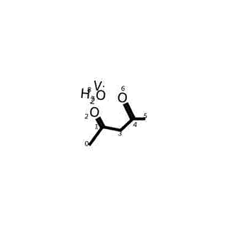 CC(=O)CC(C)=O.O.[V]